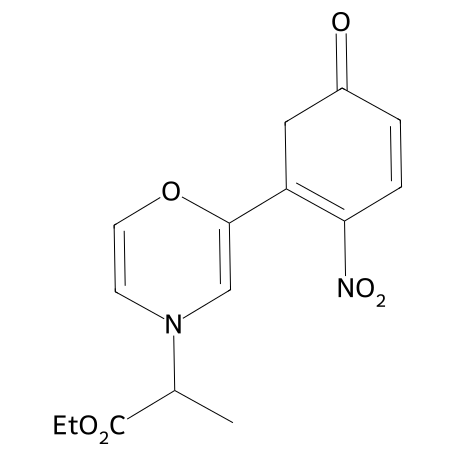 CCOC(=O)C(C)N1C=COC(C2=C([N+](=O)[O-])C=CC(=O)C2)=C1